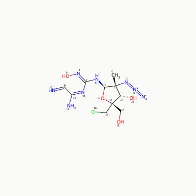 C[C@]1(N=[N+]=[N-])[C@H](NC(=N/O)/N=C(/N)C=N)O[C@@](CO)(CCl)[C@H]1O